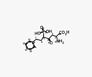 NC(CC(=O)C(CCc1ccccc1)P(=O)(O)O)C(=O)O